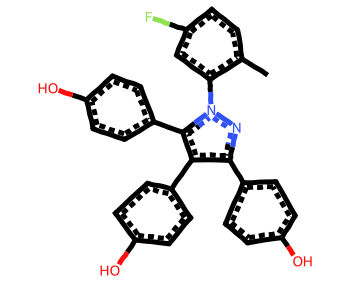 Cc1ccc(F)cc1-n1nc(-c2ccc(O)cc2)c(-c2ccc(O)cc2)c1-c1ccc(O)cc1